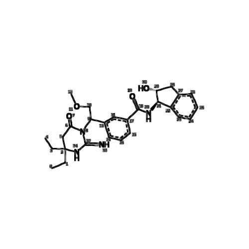 CCC1(CC)CC(=O)N(C(COC)c2cccc(C(=O)N[C@@H]3c4ccccc4C[C@H]3O)c2)C(=N)N1